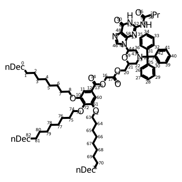 CCCCCCCCCCCCCCCCCCOc1cc(C(=O)OCC(=O)OCC2CN(C(c3ccccc3)(c3ccccc3)c3ccccc3)CC(n3cnc4c(=O)[nH]c(NC(=O)C(C)C)nc43)O2)cc(OCCCCCCCCCCCCCCCCCC)c1OCCCCCCCCCCCCCCCCCC